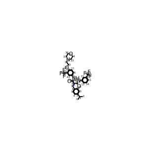 CC(C)c1ccc(/C=C(\C(=O)Nc2cccc(C(F)(F)F)c2)C(=O)Nc2ccc(OCCN3CCOCC3)c(C(F)(F)F)c2)cc1